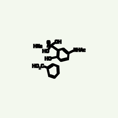 CC(=O)Nc1ccc(O)c([As](=O)(O)O)c1.O=C(O)c1ccccc1.[NaH]